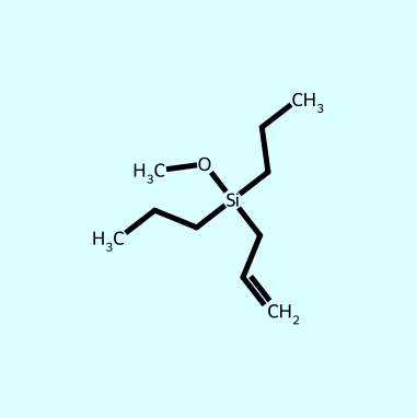 C=CC[Si](CCC)(CCC)OC